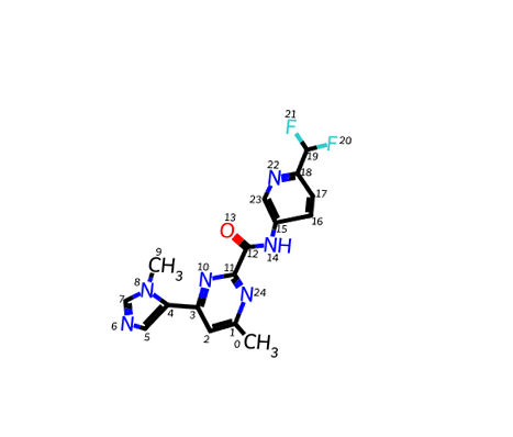 Cc1cc(-c2cncn2C)nc(C(=O)Nc2ccc(C(F)F)nc2)n1